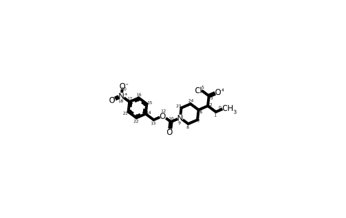 CCC(C(=O)Cl)C1CCN(C(=O)OCc2ccc([N+](=O)[O-])cc2)CC1